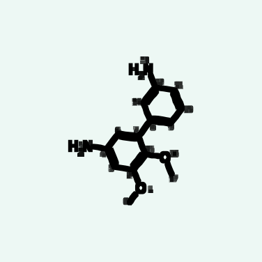 COc1cc(N)cc(-c2cccc(N)c2)c1OC